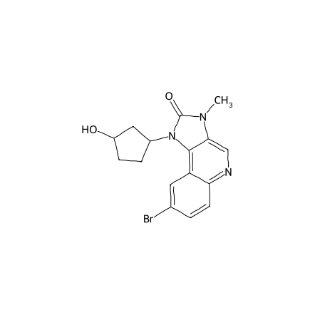 Cn1c(=O)n(C2CCC(O)C2)c2c3cc(Br)ccc3ncc21